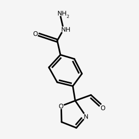 NNC(=O)c1ccc(C2(C=O)N=CCO2)cc1